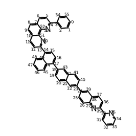 c1ccc(-c2ccc3ccc4ccc(-c5ccc(-c6ccc7cc(-c8ccc9nc(-c%10ccccn%10)ccc9c8)ccc7c6)c6ccccc56)nc4c3n2)cc1